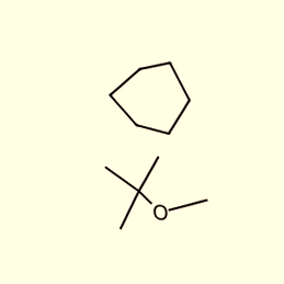 C1CCCCC1.COC(C)(C)C